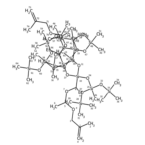 C=C(C)COC(C)OC(CC)[Si](O[Si](C)(O[Si](C)(C)C)O[Si](C)(C)C)(O[Si](C)(O[Si](C)(C)C)O[Si](C)(C)C)O[Si](O[Si](C)(O[Si](C)(C)C)O[Si](C)(C)C)(O[Si](C)(O[Si](C)(C)C)O[Si](C)(C)C)C(CC)OC(C)OCC(=C)C